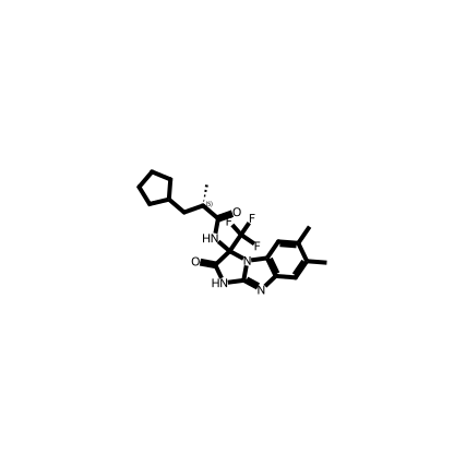 Cc1cc2nc3n(c2cc1C)C(NC(=O)[C@@H](C)CC1CCCC1)(C(F)(F)F)C(=O)N3